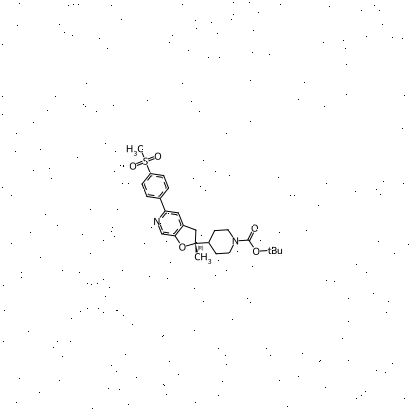 CC(C)(C)OC(=O)N1CCC([C@@]2(C)Cc3cc(-c4ccc(S(C)(=O)=O)cc4)ncc3O2)CC1